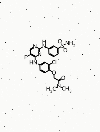 CN(C)C(=O)COc1ccc(Nc2nc(Nc3cccc(S(N)(=O)=O)c3)ncc2F)cc1Cl